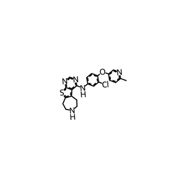 Cc1ccc(Oc2ccc(Nc3ncnc4sc5c(c34)CCNCC5)cc2Cl)cn1